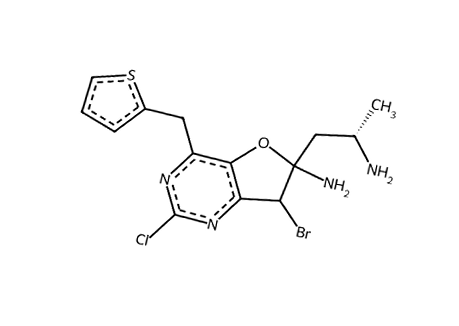 C[C@H](N)CC1(N)Oc2c(Cc3cccs3)nc(Cl)nc2C1Br